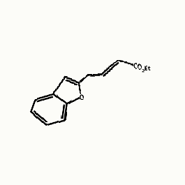 CCOC(=O)C=CCc1cc2ccccc2o1